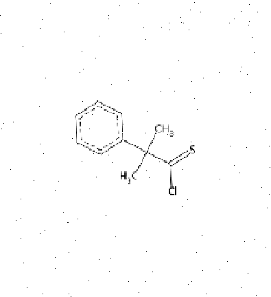 CC(C)(C(=S)Cl)c1ccccc1